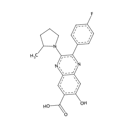 CC1CCCN1c1nc2cc(C(=O)O)c(O)cc2nc1-c1ccc(F)cc1